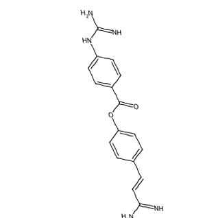 N=C(N)C=Cc1ccc(OC(=O)c2ccc(NC(=N)N)cc2)cc1